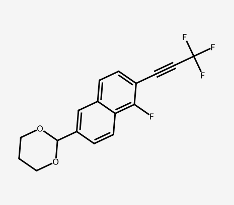 Fc1c(C#CC(F)(F)F)ccc2cc(C3OCCCO3)ccc12